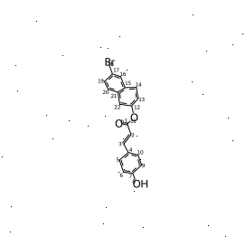 O=C(/C=C/c1ccc(O)cc1)Oc1ccc2cc(Br)ccc2c1